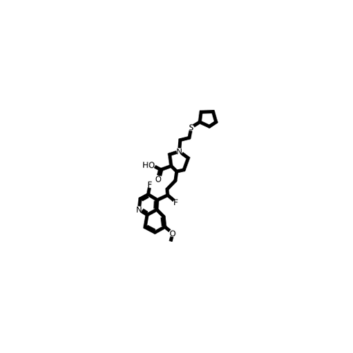 COc1ccc2ncc(F)c(C(F)CCC3CCN(CCSC4CCCC4)CC3C(=O)O)c2c1